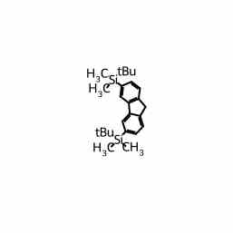 CC(C)(C)[Si](C)(C)c1ccc2c(c1)-c1cc([Si](C)(C)C(C)(C)C)ccc1C2